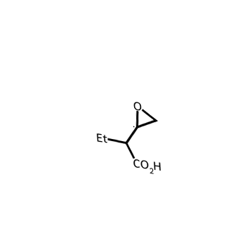 [CH2]CC([C]1CO1)C(=O)O